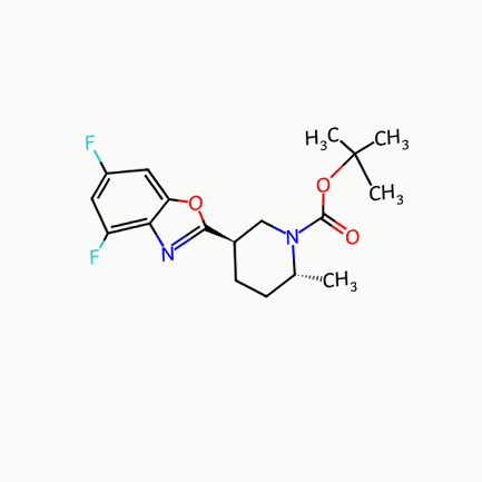 C[C@@H]1CC[C@@H](c2nc3c(F)cc(F)cc3o2)CN1C(=O)OC(C)(C)C